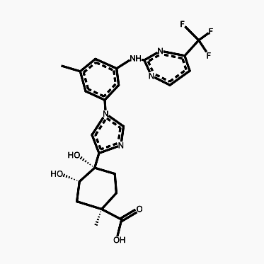 Cc1cc(Nc2nccc(C(F)(F)F)n2)cc(-n2cnc([C@@]3(O)CC[C@@](C)(C(=O)O)C[C@@H]3O)c2)c1